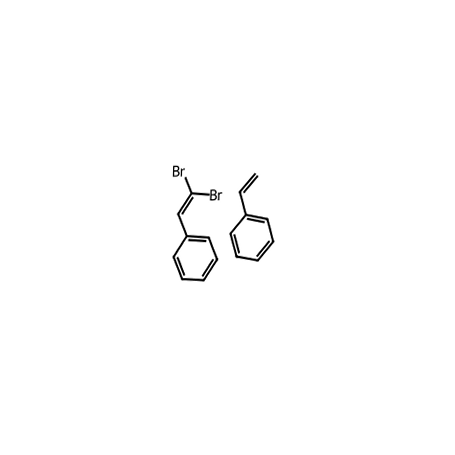 BrC(Br)=Cc1ccccc1.C=Cc1ccccc1